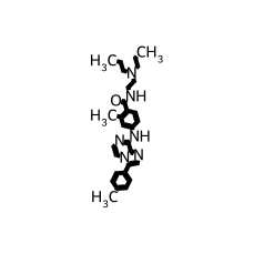 CCCN(CCC)CCNC(=O)c1ccc(Nc2nccn3c(-c4ccc(C)cc4)cnc23)cc1C